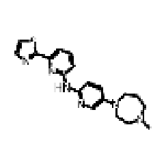 CN1CCCN(c2ccc(Nc3cccc(-c4nccs4)n3)nc2)CC1